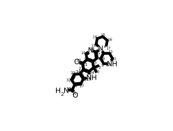 CC1(C)c2cc([N+]3(C4CCNCC4)CCCCC3)ncc2C(=O)c2c1[nH]c1cc(C(N)=O)ccc21